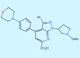 CCOC(=O)c1cc(-c2ccc(N3CCOCC3)cc2)c2c(C(C)C)nn(C3CCN(OC)C3)c2n1